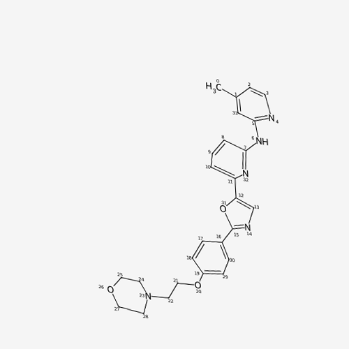 Cc1ccnc(Nc2cccc(-c3cnc(-c4ccc(OCCN5CCOCC5)cc4)o3)n2)c1